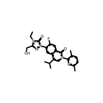 CCn1c(CO)nn(-c2cc3c(C(C)C)cn(-c4nc(C)ccc4C)c(=O)c3cc2F)c1=O